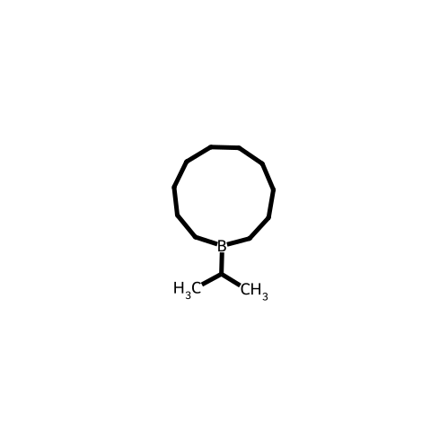 CC(C)B1CCCCCCCCCC1